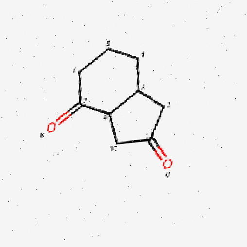 O=C1CC2CCCC(=O)C2C1